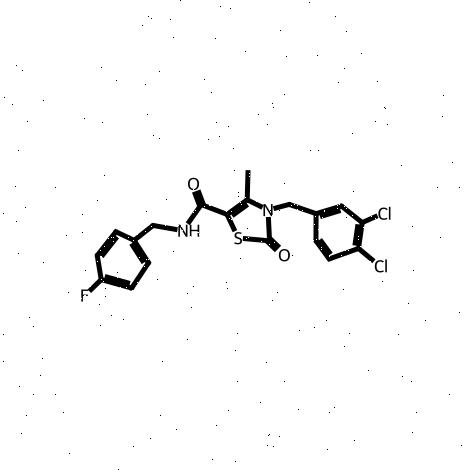 Cc1c(C(=O)NCc2ccc(F)cc2)sc(=O)n1Cc1ccc(Cl)c(Cl)c1